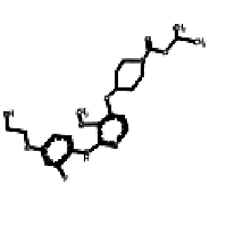 COc1c(OC2CCN(C(=O)OC(C)C)CC2)ccnc1Nc1ccc(OCCO)cc1F